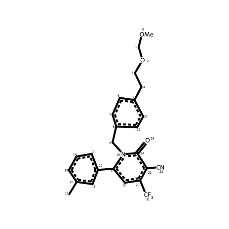 COCOCCc1ccc(Cn2c(-c3cccc(C)c3)cc(C(F)(F)F)c(C#N)c2=O)cc1